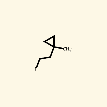 [CH2]C1(CCF)CC1